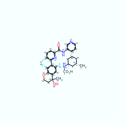 C[C@@H]1CC(NC(=O)O)C[C@H](c2ccncc2NC(=O)c2ccc(F)c(-c3c(F)cc4c(c3F)OCCC4(C)O)n2)C1